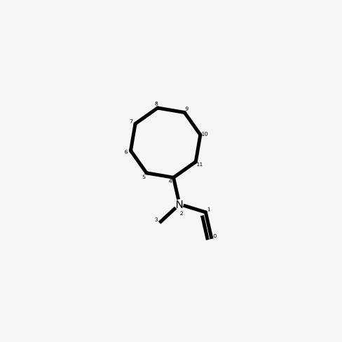 C=CN(C)C1CCCCCCC1